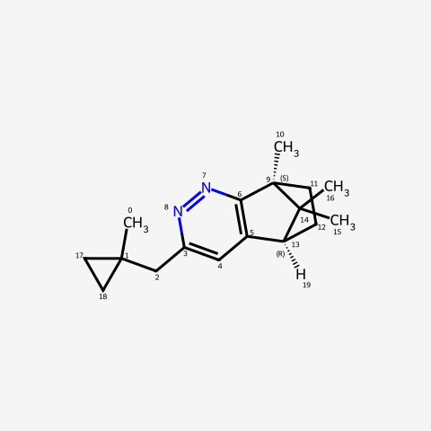 CC1(Cc2cc3c(nn2)[C@@]2(C)CC[C@@H]3C2(C)C)CC1